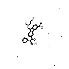 CCCCC(CC)Cn1c2ccc(C(=O)/C(=N\O)c3ccccc3)cc2c2cc([N+](=O)[O-])ccc21